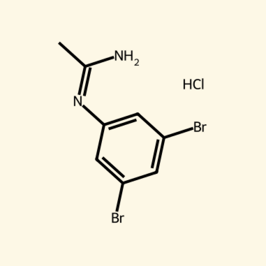 CC(N)=Nc1cc(Br)cc(Br)c1.Cl